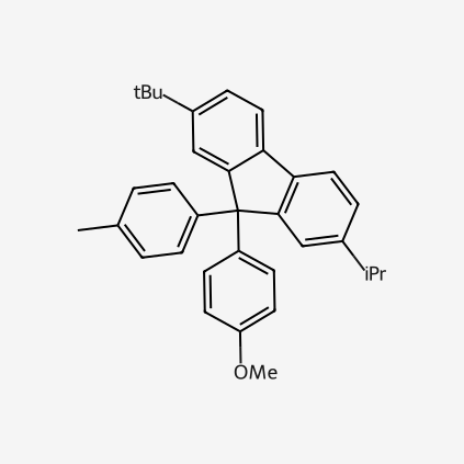 COc1ccc(C2(c3ccc(C)cc3)c3cc(C(C)C)ccc3-c3ccc(C(C)(C)C)cc32)cc1